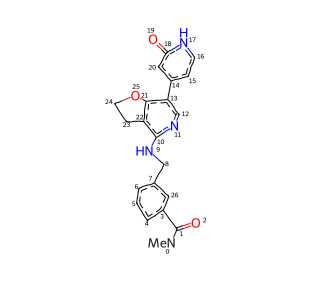 CNC(=O)c1cccc(CNc2ncc(-c3cc[nH]c(=O)c3)c3c2CCO3)c1